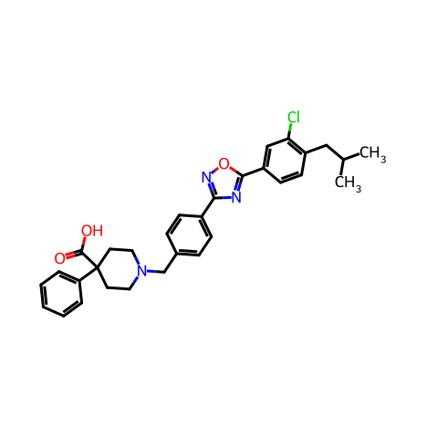 CC(C)Cc1ccc(-c2nc(-c3ccc(CN4CCC(C(=O)O)(c5ccccc5)CC4)cc3)no2)cc1Cl